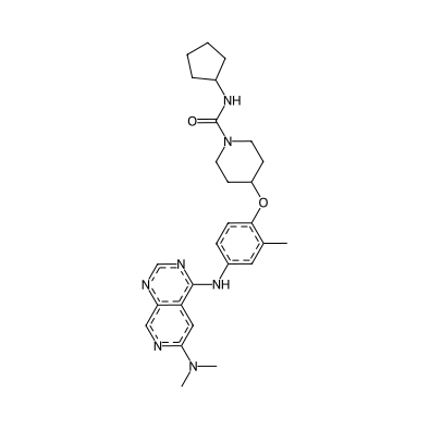 Cc1cc(Nc2ncnc3cnc(N(C)C)cc23)ccc1OC1CCN(C(=O)NC2CCCC2)CC1